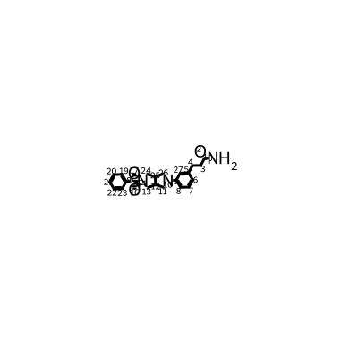 NC(=O)CCc1cccc(N2CC3CN(S(=O)(=O)c4ccccc4)CC3C2)c1